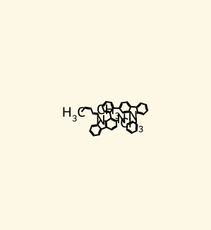 C/C=C\C=C(/C)n1c2ccccc2c2ccc3c(c21)-c1ccccc1-c1ccc2c4ccccc4n(-c4ccccc4)c2c1N3C